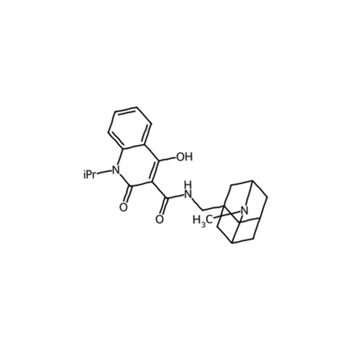 CC(C)n1c(=O)c(C(=O)NCC23CC4CC(C2)N(C)C(C4)C3)c(O)c2ccccc21